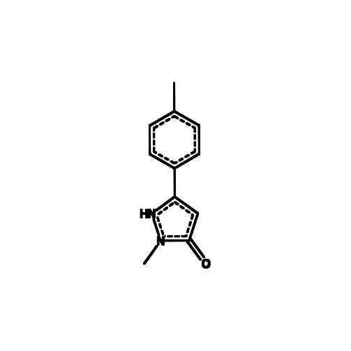 Cc1ccc(-c2cc(=O)n(C)[nH]2)cc1